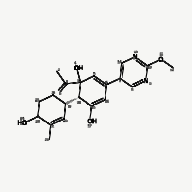 C=C(C)C1(O)C=C(c2cnc(OC)nc2)C=C(O)[C@@H]1C1C=C(C)C(O)CC1